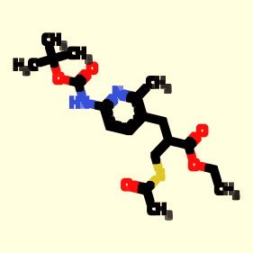 CCOC(=O)C(CSC(C)=O)Cc1ccc(NC(=O)OC(C)(C)C)nc1C